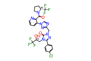 O=C(c1ncccc1-n1cnc(Cn2nc(-c3ccc(Cl)cc3)n(C[C@H](O)C(F)(F)F)c2=O)n1)N1CCC[C@@H]1C(F)(F)F